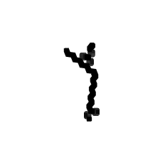 C=COC(=O)OC(C/C=C\CCCCCCCC(=O)OC)CCCCCC